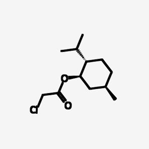 CC(C)[C@@H]1CC[C@@H](C)C[C@H]1OC(=O)CCl